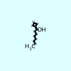 CCCCCCCC(O)=C1CCC1